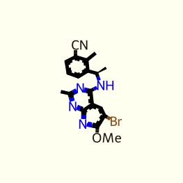 COc1nc2nc(C)nc(N[C@H](C)c3cccc(C#N)c3C)c2cc1Br